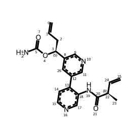 C=CC[C@H](OC(N)=O)c1cncc(-c2ccncc2NC(=O)[C@H](C)C=C)c1